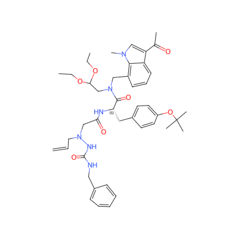 C=CCN(CC(=O)N[C@@H](Cc1ccc(OC(C)(C)C)cc1)C(=O)N(Cc1cccc2c(C(C)=O)cn(C)c12)CC(OCC)OCC)NC(=O)NCc1ccccc1